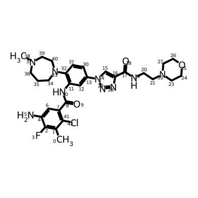 Cc1c(F)c(N)cc(C(=O)Nc2cc(-n3cc(C(=O)NCCN4CCOCC4)nn3)ccc2N2CCCN(C)CC2)c1Cl